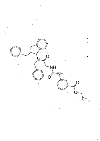 CCOC(=O)c1cccc(NC(=O)NCC(=O)N(Cc2ccccc2)C2c3ccccc3CC2Cc2ccccc2)c1